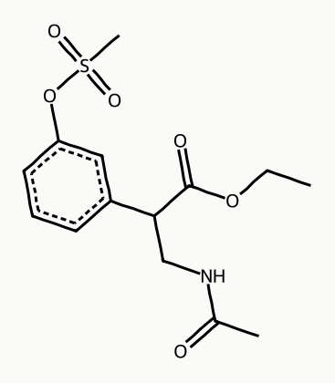 CCOC(=O)C(CNC(C)=O)c1cccc(OS(C)(=O)=O)c1